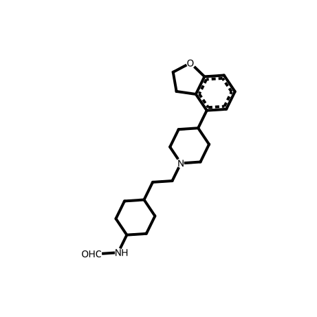 O=CNC1CCC(CCN2CCC(c3cccc4c3CCO4)CC2)CC1